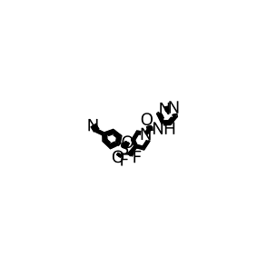 N#Cc1ccc(S(=O)(=O)C(F)(F)C2CCN(C(=O)Nc3ccnnc3)CC2)cc1